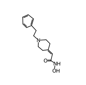 O=C(C=C1CCN(CCc2ccccc2)CC1)NO